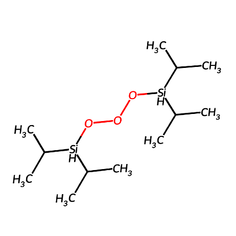 CC(C)[SiH](OOO[SiH](C(C)C)C(C)C)C(C)C